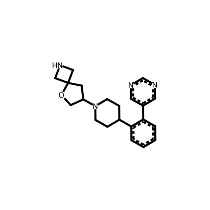 c1ccc(C2CCN(C3COC4(CNC4)C3)CC2)c(-c2cncnc2)c1